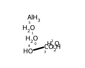 O.O.O.O=C(O)O.[AlH3]